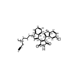 C#CCN(C)CCCn1cc(C2=C(c3csc4ccc(Cl)cc34)C(=O)NC2=O)c2ccccc21